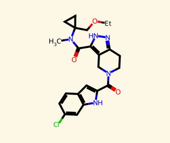 CCOCC1(N(C)C(=O)c2[nH]nc3c2CN(C(=O)c2cc4ccc(Cl)cc4[nH]2)CC3)CC1